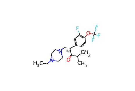 CCN1CCN(C[C@@H](C(=O)C(C)C)c2ccc(OC(F)(F)F)c(F)c2)CC1